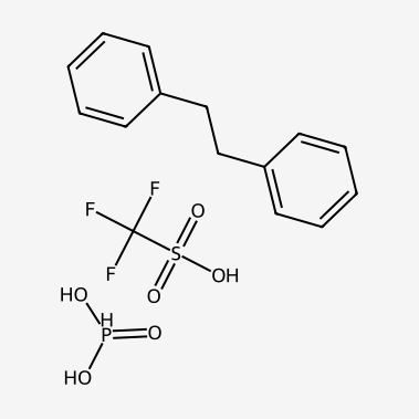 O=S(=O)(O)C(F)(F)F.O=[PH](O)O.c1ccc(CCc2ccccc2)cc1